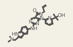 C=CCn1c(=O)c2cnc(Nc3ccc4[nH]c(CN(C)C)cc4c3)nc2n1-c1cccc(C(C)(C)O)n1